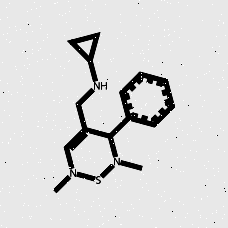 CN1C=C(CNC2CC2)C(c2ccccc2)N(C)S1